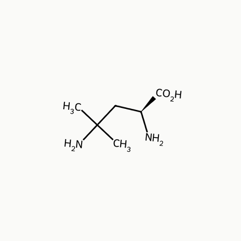 CC(C)(N)C[C@H](N)C(=O)O